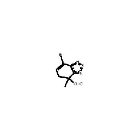 CC1(C=O)CC=C(Br)c2nsnc21